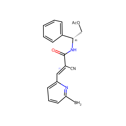 Bc1cccc(/C=C(\C#N)C(=O)N[C@@H](COC(C)=O)c2ccccc2)n1